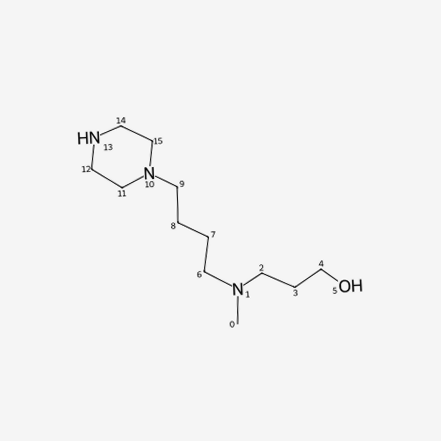 CN(CCCO)CCCCN1CCNCC1